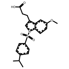 COc1ccc2c(c1)c(CCC(=O)O)cn2S(=O)(=O)c1ccc(C(C)C)cc1